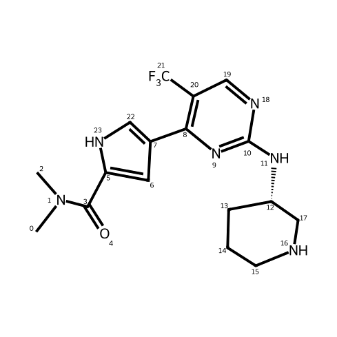 CN(C)C(=O)c1cc(-c2nc(N[C@H]3CCCNC3)ncc2C(F)(F)F)c[nH]1